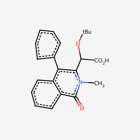 Cn1c(C(OC(C)(C)C)C(=O)O)c(-c2ccccc2)c2ccccc2c1=O